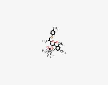 Cc1ccc(SCC(C)C2CC(OC(=O)C(C)(C)C)=C(c3c(C)cc(C)cc3C)C(=O)O2)cc1